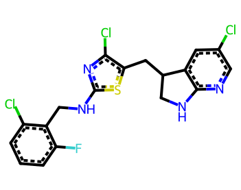 Fc1cccc(Cl)c1CNc1nc(Cl)c(CC2CNc3ncc(Cl)cc32)s1